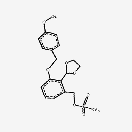 COc1ccc(COc2cccc(COS(C)(=O)=O)c2C2OCCO2)cc1